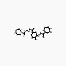 CC(CSSC(=S)N1CCCCCC1)C1CCC(C)C(SSC(=S)N2CCCCCC2)C1